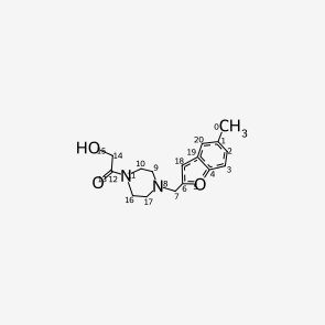 Cc1ccc2oc(CN3CCN(C(=O)CO)CC3)cc2c1